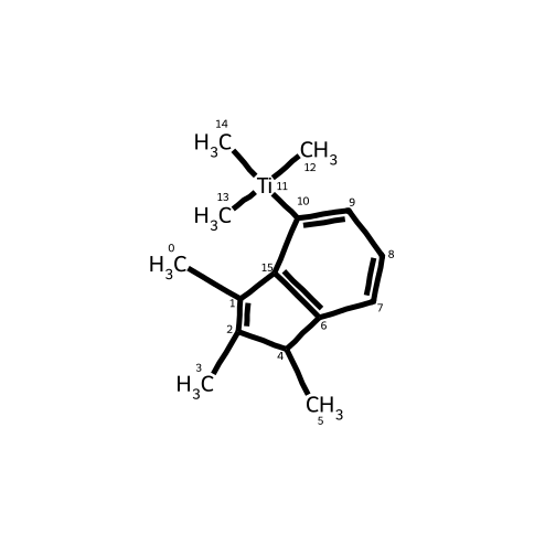 CC1=C(C)C(C)c2ccc[c]([Ti]([CH3])([CH3])[CH3])c21